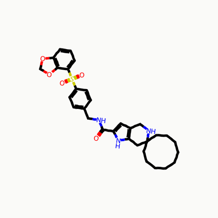 O=C(NCc1ccc(S(=O)(=O)c2cccc3c2OCO3)cc1)c1cc2c([nH]1)CC1(CCCCCCCCC1)NC2